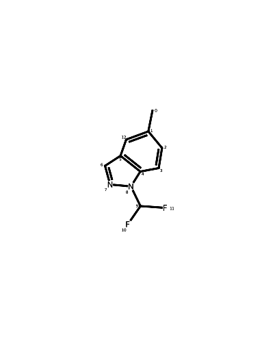 Cc1ccc2c(cnn2C(F)F)c1